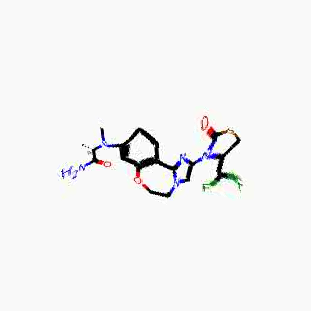 C[C@@H](C(N)=O)N(C)c1ccc2c(c1)OCCn1cc(N3C(=O)SCC3C(F)F)nc1-2